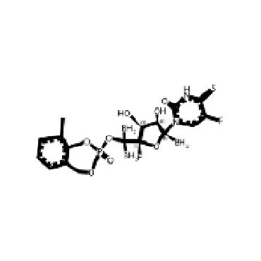 BC(B)(OP1(=O)OCc2cccc(C)c2O1)[C@@]1(F)O[C@@](B)(n2cc(F)c(=S)[nH]c2=O)[C@H](O)[C@@H]1O